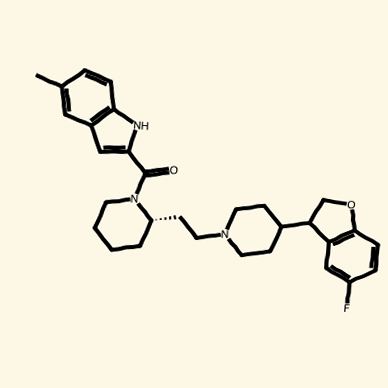 Cc1ccc2[nH]c(C(=O)N3CCCC[C@H]3CCN3CCC(C4COc5ccc(F)cc54)CC3)cc2c1